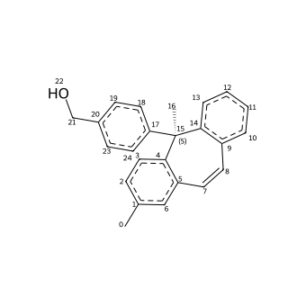 Cc1ccc2c(c1)C=Cc1ccccc1[C@]2(C)c1ccc(CO)cc1